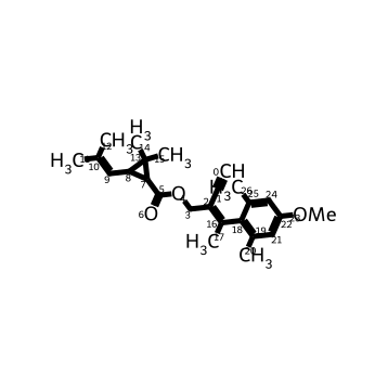 C#C/C(COC(=O)C1C(C=C(C)C)C1(C)C)=C(/C)c1c(C)cc(OC)cc1C